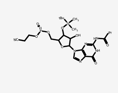 CC(C)C(=O)Nc1nc2c(ncn2C2OC(CO[PH](=O)OCCC#N)C(O[Si](C)(C)C(C)(C)C)C2O)c(=O)[nH]1